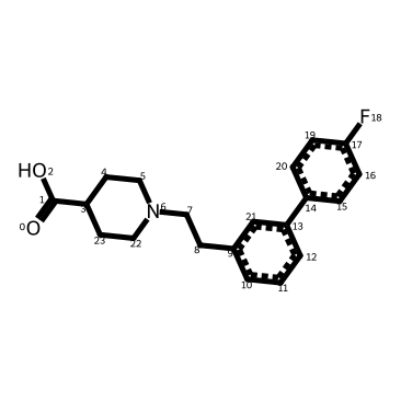 O=C(O)C1CCN(CCc2cccc(-c3ccc(F)cc3)c2)CC1